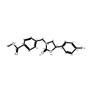 COC(=O)c1ccc(CN2CC(c3ccc(F)cc3)OC2=O)cc1